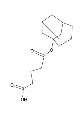 O=C(O)CCCC(=O)OC12CC3CC(CC(C3)C1)C2